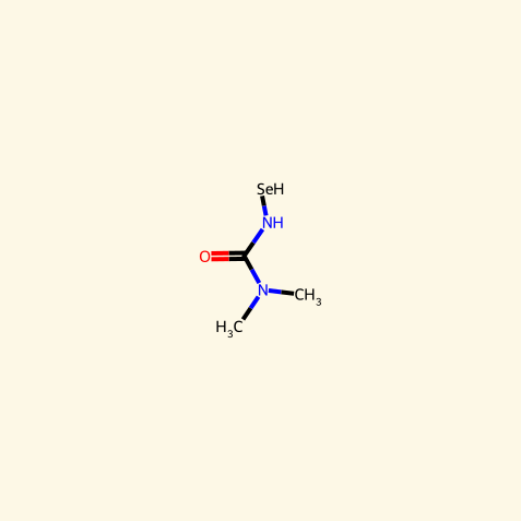 CN(C)C(=O)N[SeH]